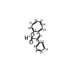 O=c1oc2/c(cc1-c1ccccc1)=C\C=C/C=C\C=2.[H+]